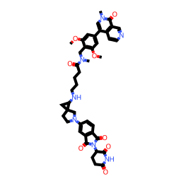 COc1cc(-c2cn(C)c(=O)c3cnccc23)cc(OC)c1CN(C)C(=O)CCCCNC1CC12CCN(c1ccc3c(c1)C(=O)N(C1CCC(=O)NC1=O)C3=O)C2